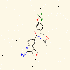 C[C@H]1CN(C(=O)c2ccc3nc(N)c4c(c3c2)COC4)[C@H](c2ccc(OC(F)(F)F)cc2)CO1